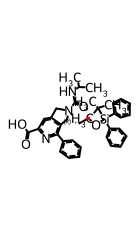 CC(C)NC(=O)N1Cc2cc(C(=O)O)nc(-c3ccccc3)c2[C@H]1CCO[Si](c1ccccc1)(c1ccccc1)C(C)(C)C